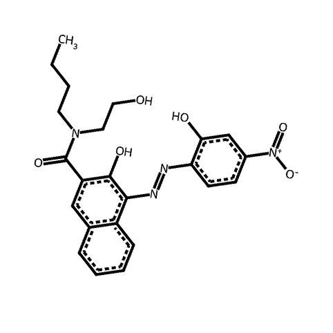 CCCCN(CCO)C(=O)c1cc2ccccc2c(N=Nc2ccc([N+](=O)[O-])cc2O)c1O